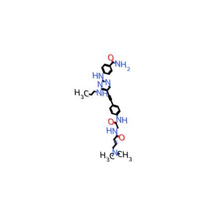 CCCNc1nc(Nc2ccc(C(N)=O)cc2)ncc1C#Cc1ccc(NC(=O)CNC(=O)/C=C/CN(C)C)cc1